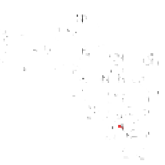 N#Cc1cnn2cc(C3=CCOC3)cc(-c3cnc(N4CC5CC(C4)N5Cc4ccc(O)nc4)cn3)c12